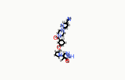 Cc1c(N2CCC[C@H]2CO[C@H]2CCC[C@H](C(=O)N3CCN(c4ccc(C#N)cn4)CC3)C2)cn[nH]c1=O